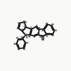 C1=CC2C(S1)c1cc3c(cc1N2c1ccccc1)[nH]c1ccccc13